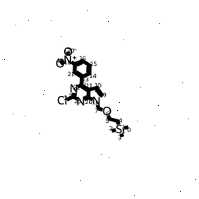 C[Si](C)(C)CCOCn1ccc2c(-c3cccc([N+](=O)[O-])c3)nc(Cl)nc21